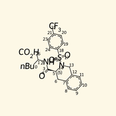 CCCCC(NC(=O)[C@@H]1Cc2ccccc2CN1S(=O)(=O)c1ccc(C(F)(F)F)cc1)C(=O)O